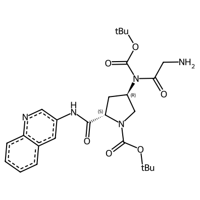 CC(C)(C)OC(=O)N1C[C@H](N(C(=O)CN)C(=O)OC(C)(C)C)C[C@H]1C(=O)Nc1cnc2ccccc2c1